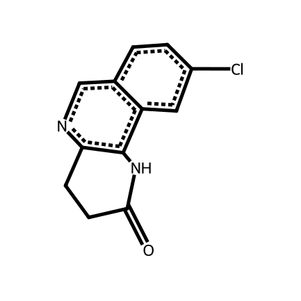 O=C1CCc2ncc3ccc(Cl)cc3c2N1